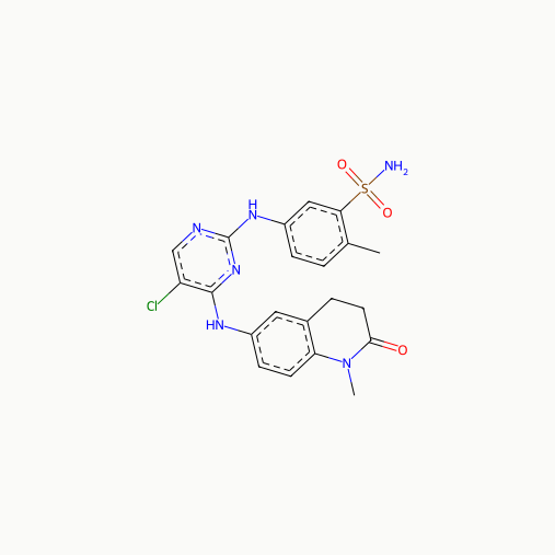 Cc1ccc(Nc2ncc(Cl)c(Nc3ccc4c(c3)CCC(=O)N4C)n2)cc1S(N)(=O)=O